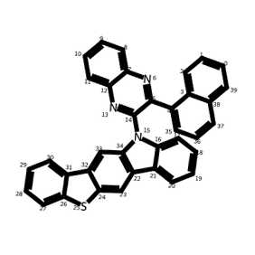 c1ccc2c(-c3nc4ccccc4nc3-n3c4ccccc4c4cc5sc6ccccc6c5cc43)cccc2c1